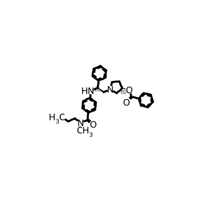 CCCN(C)C(=O)c1ccc(N[C@H](CN2CC[C@H](OC(=O)c3ccccc3)C2)c2ccccc2)cc1